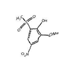 COc1cc([N+](=O)[O-])cc(S(C)(=O)=O)c1O